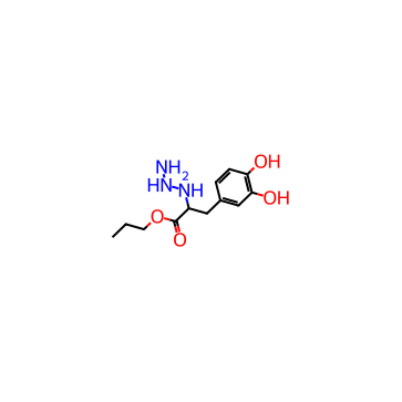 CCCOC(=O)C(Cc1ccc(O)c(O)c1)NNN